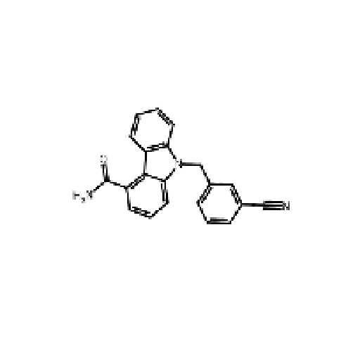 N#Cc1cccc(Cn2c3ccc[c]c3c3c(C(N)=O)cccc32)c1